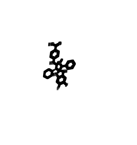 COC(c1ccccc1)C1([C@@H](C(=O)Nc2ccc(C(=O)O)cc2)C2CCCCC2)Nc2cc(F)c(F)cc2N1